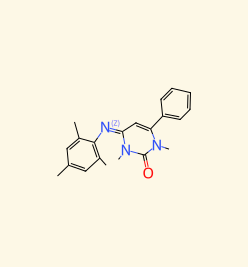 Cc1cc(C)c(/N=c2/cc(-c3ccccc3)n(C)c(=O)n2C)c(C)c1